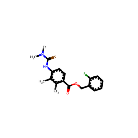 CCN(C)C(=S)Nc1ccc(C(=O)OCc2ccccc2F)c(C(F)(F)F)c1C